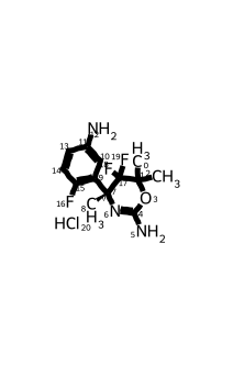 CC1(C)OC(N)=N[C@](C)(c2cc(N)ccc2F)C1(F)F.Cl